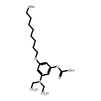 CCCCCCCCCCCCCCCCCCOc1cc(OC(=O)CCCCCCCC)cc(N(CC(=O)O)CC(=O)O)c1